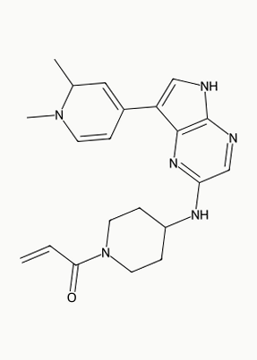 C=CC(=O)N1CCC(Nc2cnc3[nH]cc(C4=CC(C)N(C)C=C4)c3n2)CC1